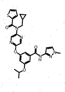 CC(C)Oc1cc(Oc2cnc(N(CC3CC3)C(=O)c3cccs3)cn2)cc(C(=O)Nc2ccn(C)n2)c1